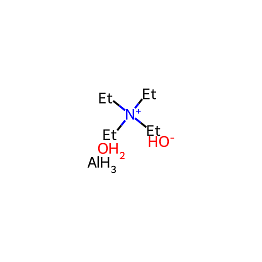 CC[N+](CC)(CC)CC.O.[AlH3].[OH-]